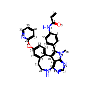 C=CC(=O)Nc1ccc(-c2c3c4c(ncnc4n2C)NCCc2cc(Oc4ccccn4)ccc2-3)cc1